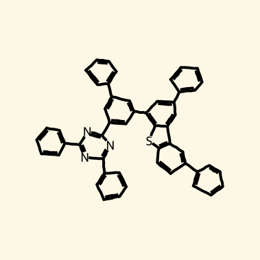 c1ccc(-c2cc(-c3nc(-c4ccccc4)nc(-c4ccccc4)n3)cc(-c3cc(-c4ccccc4)cc4c3sc3ccc(-c5ccccc5)cc34)c2)cc1